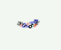 [2H]C([2H])([2H])Oc1cnc(C(=O)Nc2ccc(F)c([C@]3(C)CS(=O)(=O)N(C([2H])([2H])[2H])C(=N)N3)c2)cn1